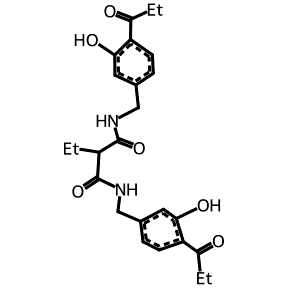 CCC(=O)c1ccc(CNC(=O)C(CC)C(=O)NCc2ccc(C(=O)CC)c(O)c2)cc1O